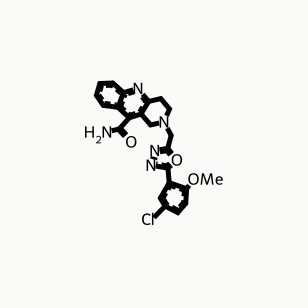 COc1ccc(Cl)cc1-c1nnc(CN2CCc3nc4ccccc4c(C(N)=O)c3C2)o1